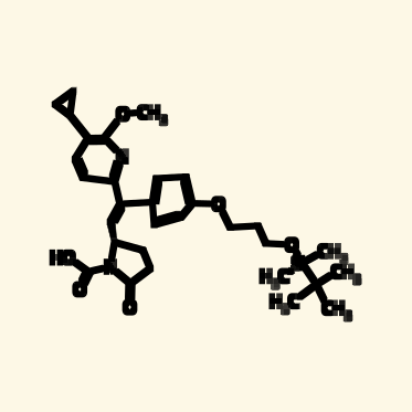 COc1nc(/C(=C/[C@H]2CCC(=O)N2C(=O)O)c2ccc(OCCCO[Si](C)(C)C(C)(C)C)cc2)ccc1C1CC1